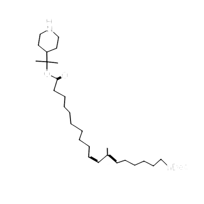 CCCCCCCCCCCCCCC/C=C(C)/C=C\CCCCCCCCC(=O)OC(C)(C)C1CCNCC1